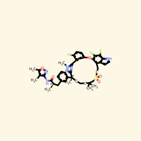 Cc1onc(NC(=O)[C@H](C)Cc2cccc([C@@]3(C)CCCC(C)(C)CS(=O)(=O)CCc4c(c(F)c(F)c5[nH]ccc45)Oc4ccc(F)c(c4)-c4nc3nn4C)c2)c1C